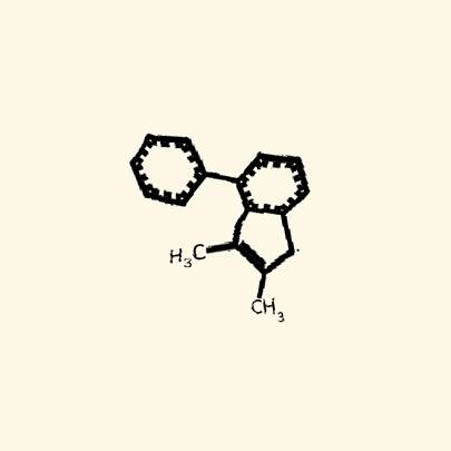 CC1=C(C)c2c(cccc2-c2ccccc2)[CH]1